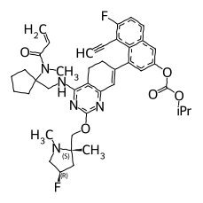 C#Cc1c(F)ccc2cc(OC(=O)OC(C)C)cc(C3=Cc4nc(OC[C@]5(C)C[C@@H](F)CN5C)nc(NCC5(N(C)C(=O)C=C)CCCC5)c4CC3)c12